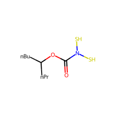 CCCCC(CCC)OC(=O)N(S)S